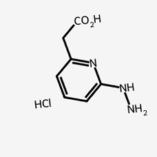 Cl.NNc1cccc(CC(=O)O)n1